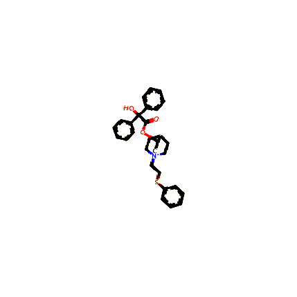 O=C(OC1C[N+]2(CCSc3ccccc3)CCC1CC2)C(O)(c1ccccc1)c1ccccc1